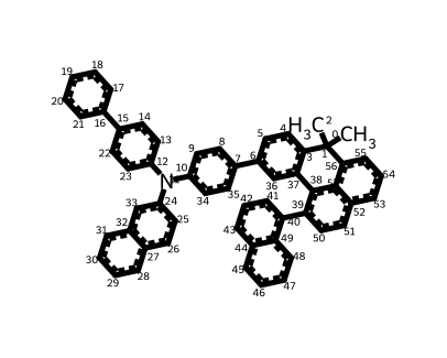 CC1(C)c2ccc(-c3ccc(N(c4ccc(-c5ccccc5)cc4)c4ccc5ccccc5c4)cc3)cc2-c2c(-c3cccc4ccccc34)ccc3cccc1c23